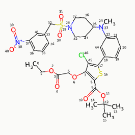 CCOC(=O)COc1c(C(=O)OC(C)(C)C)sc(-c2cccc(N(C)C3CCN(S(=O)(=O)Cc4cccc([N+](=O)[O-])c4)CC3)c2)c1Cl